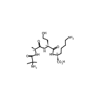 C[C@H](NC(=O)C(C)(C)N)C(=O)N[C@@H](CCO)C(=O)N[C@@H](CCCCN)C(=O)O